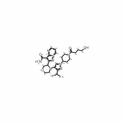 NC(=O)c1c(C2COCCN2c2cn(C3CCN(C(=O)CCCO)CC3)nc2C(F)F)nn2cccnc12